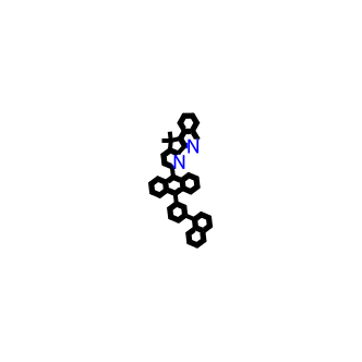 CC1(C)c2ccc(-c3c4ccccc4c(-c4cccc(-c5cccc6ccccc56)c4)c4ccccc34)nc2-c2ncc3ccccc3c21